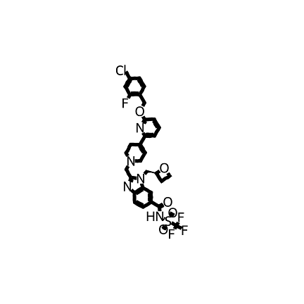 O=C(NS(=O)(=O)C(F)(F)F)c1ccc2nc(CN3CC=C(c4cccc(OCc5ccc(Cl)cc5F)n4)CC3)n(C[C@@H]3CCO3)c2c1